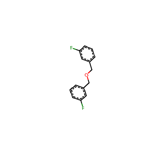 Fc1cccc(COCc2cccc(F)c2)c1